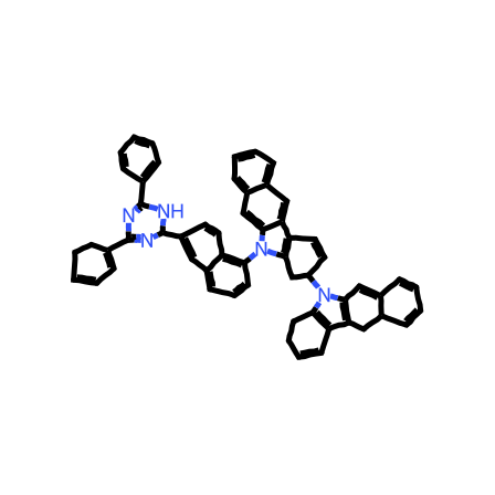 C1=CCCC(C2=NC(c3ccc4c(-n5c6c(c7cc8ccccc8cc75)C=CC(n5c7c(c8c5CCC=C8)CC5C=CC=CC5=C7)C6)cccc4c3)NC(c3ccccc3)=N2)=C1